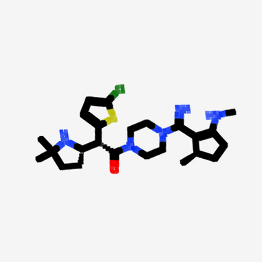 CNC1=C(C(=N)N2CCN(C(=O)[C@@H](c3ccc(Cl)s3)[C@@H]3CCC(C)(C)N3)CC2)[C@H](C)CC1